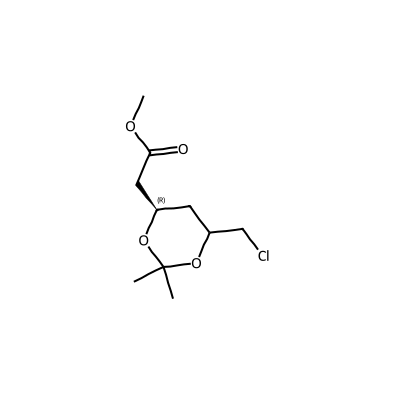 COC(=O)C[C@H]1CC(CCl)OC(C)(C)O1